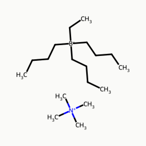 CCCC[B-](CC)(CCCC)CCCC.C[N+](C)(C)C